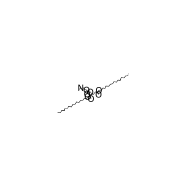 CCCCCCCCCCCCCCCCOC(=O)CCC(OC(=O)OCCN(C)C)C(=O)OCCCCCCCCCCCCCCCC